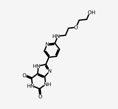 O=c1[nH]c(=O)c2[nH]c(-c3ccc(NCCOCCO)nc3)nc2[nH]1